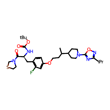 CC(C)c1noc(N2CCC(C(C)CCOc3ccc(C[C@H](NC(=O)OC(C)(C)C)C(=O)N4CCSC4)c(F)c3)CC2)n1